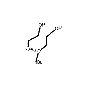 CC(C)COCCO.CCCCOCCO